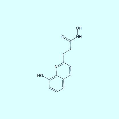 O=C(CCc1ccc2cccc(O)c2n1)NO